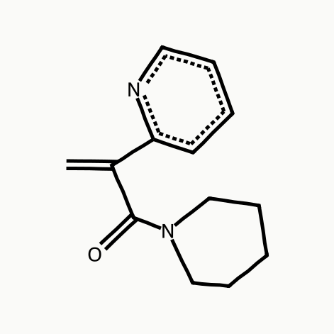 C=C(C(=O)N1CCCCC1)c1ccccn1